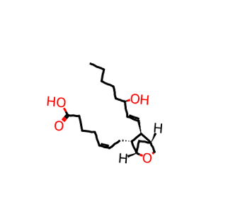 CCCCC[C@@H](O)/C=C/[C@H]1[C@@H]2CO[C@@H](C2)[C@@H]1C/C=C\CCCC(=O)O